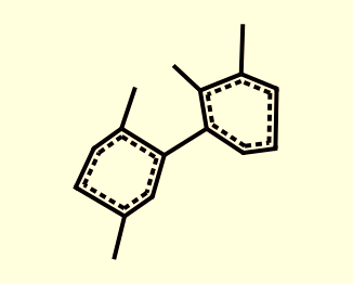 Cc1ccc(C)c(-c2cccc(C)c2C)c1